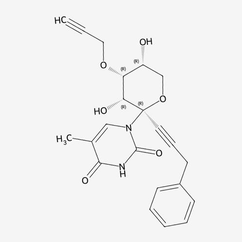 C#CCO[C@@H]1[C@H](O)CO[C@@](C#CCc2ccccc2)(n2cc(C)c(=O)[nH]c2=O)[C@@H]1O